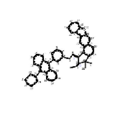 C/C=C1\C(=C/Cc2cccc(-c3c4ccccc4c(-c4ccccc4)c4ccccc34)c2)c2c(ccc3cc4sc5ccccc5c4cc23)C1(C)C